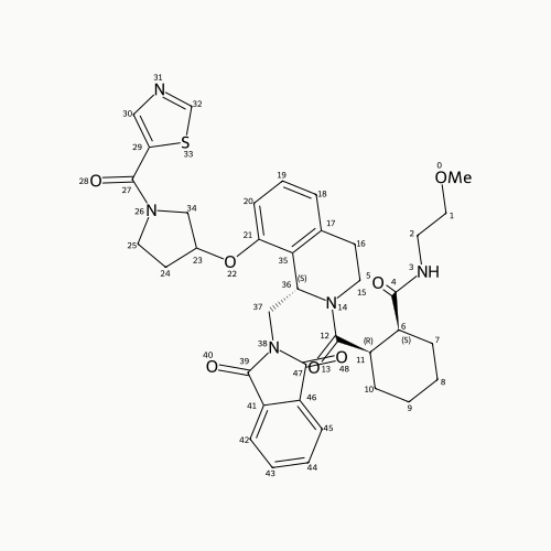 COCCNC(=O)[C@H]1CCCC[C@H]1C(=O)N1CCc2cccc(OC3CCN(C(=O)c4cncs4)C3)c2[C@H]1CN1C(=O)c2ccccc2C1=O